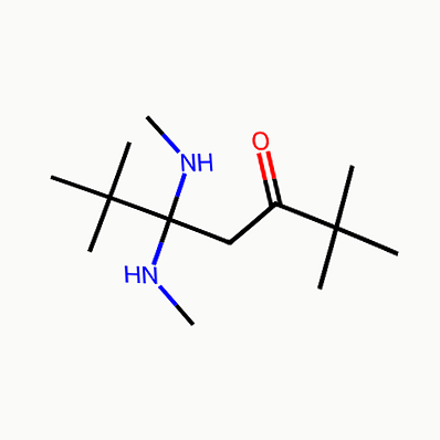 CNC(CC(=O)C(C)(C)C)(NC)C(C)(C)C